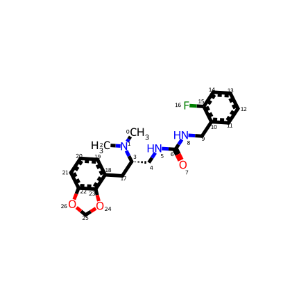 CN(C)[C@H](CNC(=O)NCc1ccccc1F)Cc1cccc2c1OCO2